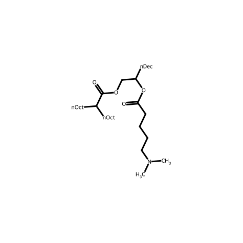 CCCCCCCCCCC(COC(=O)C(CCCCCCCC)CCCCCCCC)OC(=O)CCCCN(C)C